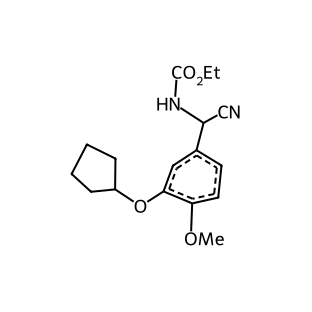 CCOC(=O)NC(C#N)c1ccc(OC)c(OC2CCCC2)c1